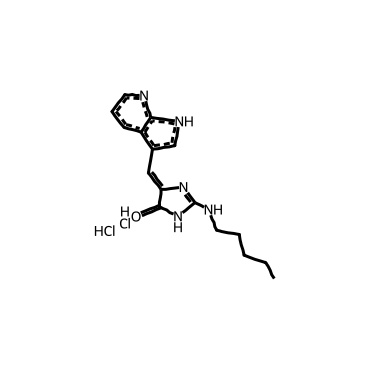 CCCCCNC1=NC(=Cc2c[nH]c3ncccc23)C(=O)N1.Cl.Cl